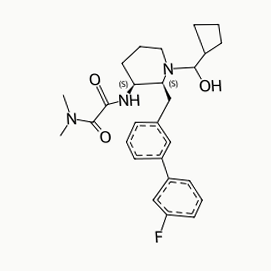 CN(C)C(=O)C(=O)N[C@H]1CCCN(C(O)C2CCC2)[C@H]1Cc1cccc(-c2cccc(F)c2)c1